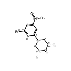 C[C@@H]1CN(c2cc([N+](=O)[O-])cc(Br)n2)C[C@H](C)O1